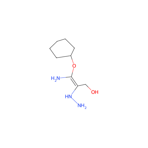 NN/C(CO)=C(\N)OC1CCCCC1